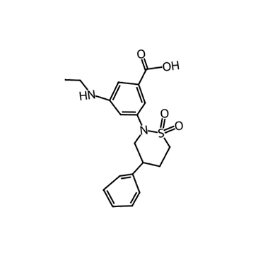 CCNc1cc(C(=O)O)cc(N2CC(c3ccccc3)CCS2(=O)=O)c1